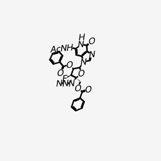 CC(=O)Nc1cc2c(ncn2C2O[C@@](COC(=O)c3ccccc3)(N=[N+]=[N-])[C@@H](F)[C@H]2OC(=O)c2ccccc2)c(=O)[nH]1